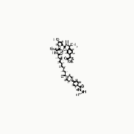 CCCNNC(=O)c1ccc(N2CCN(C(=O)CCCCCCCCC(=O)NC(C(=O)N3C[C@H](O)C[C@H]3C(=O)N[C@@H](C)c3ccc(-c4scnc4C)cc3)C(C)(C)C)CC2)cc1